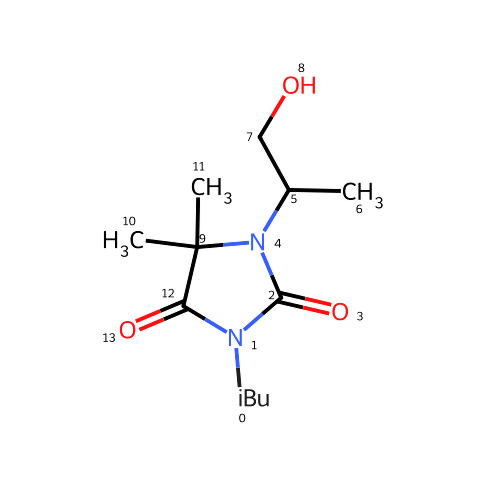 CCC(C)N1C(=O)N(C(C)CO)C(C)(C)C1=O